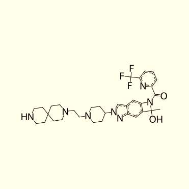 CC1(O)c2cc3nn(C4CCN(CCN5CCC6(CCNCC6)CC5)CC4)cc3cc2N1C(=O)c1cccc(C(F)(F)F)n1